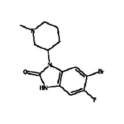 CN1CCCC(n2c(=O)[nH]c3cc(F)c(Br)cc32)C1